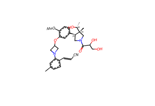 COc1ccc([C@@H]2CN(C(=O)C(O)CO)C[C@@]2(C)[C@@H](C)O)cc1OC1CN(c2cc(C)ccc2C=CC#N)C1